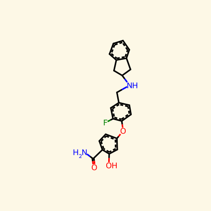 NC(=O)c1ccc(Oc2ccc(CNC3Cc4ccccc4C3)cc2F)cc1O